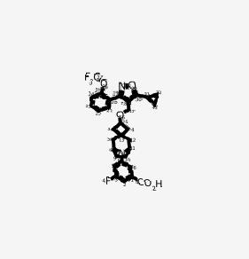 O=C(O)c1cc(F)cc(N2C3CCC2CC2(CC(OCc4c(-c5ccccc5OC(F)(F)F)noc4C4CC4)C2)C3)c1